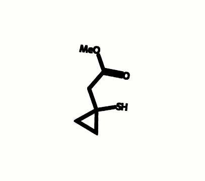 COC(=O)CC1(S)CC1